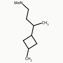 CNCCC(C)C1CC(C)C1